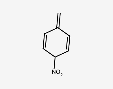 C=C1C=CC([N+](=O)[O-])C=C1